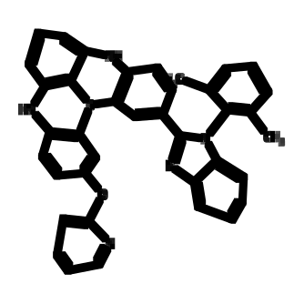 Cc1cccc(C)c1-n1c(-c2ccc3c(c2)B2c4cc(Oc5ccccn5)ccc4Nc4cccc(c42)N3)nc2ccccc21